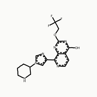 Oc1nc(OCC(F)(F)F)nc2c(-c3cn(C4CCCNC4)cn3)nccc12